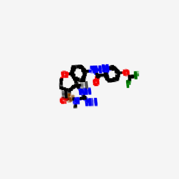 CN1C(=N)N[C@@H]2c3cc(NC(=O)c4ccc(OC(F)F)cn4)ccc3OCC[C@@H]2[S+]1[O-]